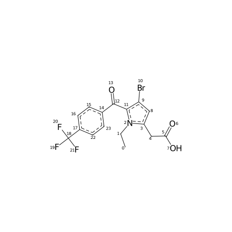 CCn1c(CC(=O)O)cc(Br)c1C(=O)c1ccc(C(F)(F)F)cc1